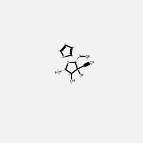 C#C[C@@]1(O)[C@@H](CO)O[C@@H](O)[C@@H]1O.c1ccoc1